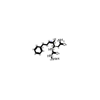 CCCCCCNC(=O)N[C@H](CC(N)=O)/C(F)=C\CCc1ccccc1